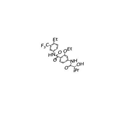 CCOc1cc(NC(=O)[C@@H](O)C(C)C)ccc1S(=O)(=O)Nc1ccc(CC)c(C(F)(F)F)c1